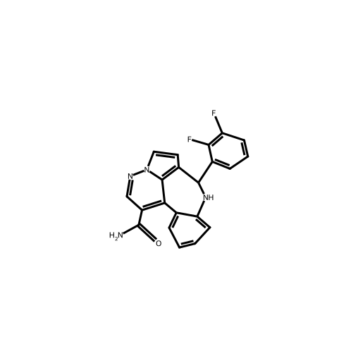 NC(=O)c1cnn2ccc3c2c1-c1ccccc1NC3c1cccc(F)c1F